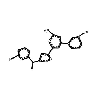 CCc1cccc(C(C)n2cc(-c3cc(-c4cccc(C#N)c4)nc(N)n3)nn2)n1